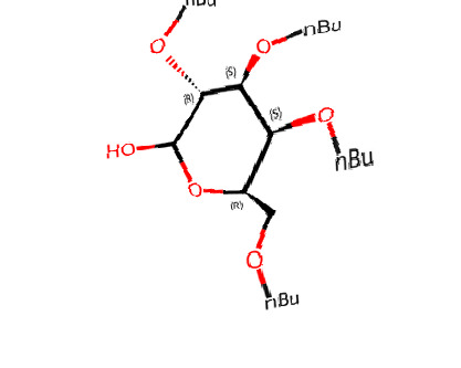 CCCCOC[C@H]1OC(O)[C@H](OCCCC)[C@@H](OCCCC)[C@H]1OCCCC